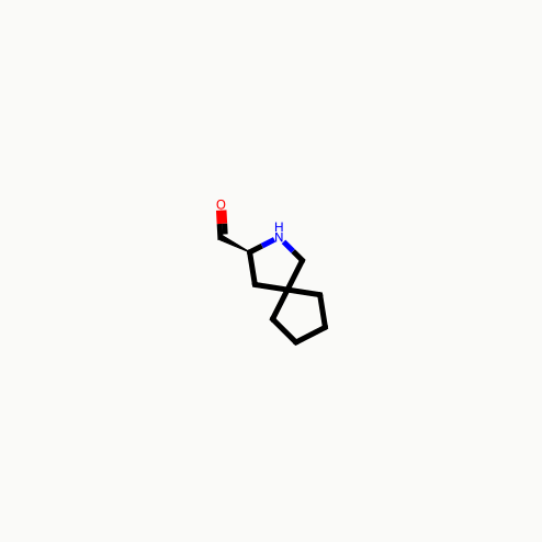 O=C[C@@H]1CC2(CCCC2)CN1